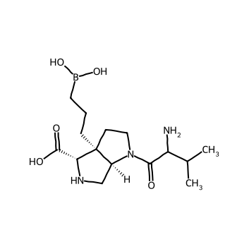 CC(C)C(N)C(=O)N1CC[C@]2(CCCB(O)O)[C@@H](C(=O)O)NC[C@H]12